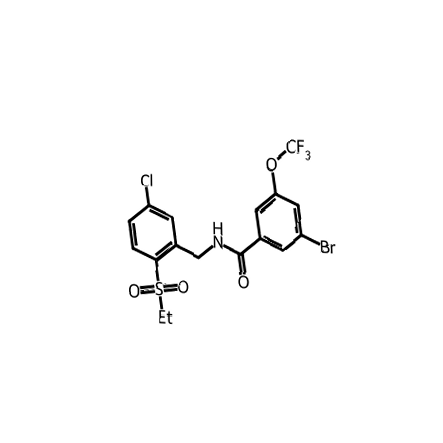 CCS(=O)(=O)c1ccc(Cl)cc1CNC(=O)c1cc(Br)cc(OC(F)(F)F)c1